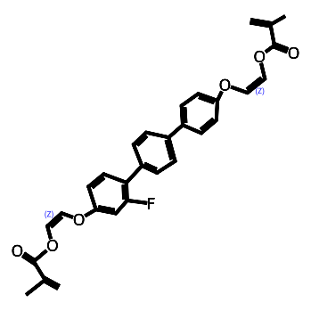 C=C(C)C(=O)O/C=C\Oc1ccc(-c2ccc(-c3ccc(O/C=C\OC(=O)C(=C)C)cc3F)cc2)cc1